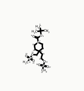 CC(C)(C)OC(=O)N1CCC(CCOS(C)(=O)=O)(COS(C)(=O)=O)CC1